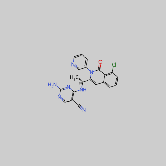 C[C@H](Nc1nc(N)ncc1C#N)c1cc2cccc(Cl)c2c(=O)n1-c1cccnc1